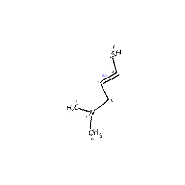 CN(C)C/C=C/S